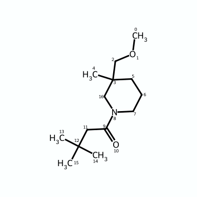 COCC1(C)CCCN(C(=O)CC(C)(C)C)C1